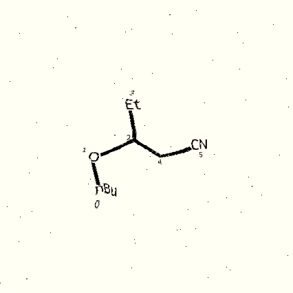 C[CH]CCOC(CC)CC#N